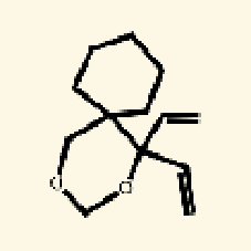 C=CC1(C=C)OCOCC12CCCCC2